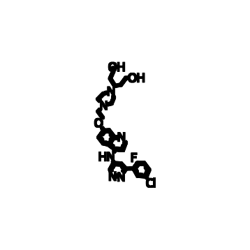 OCCC(CCO)N1CCN(CCOc2ccc3c(Nc4cnnc(-c5cc(Cl)ccc5F)c4)ccnc3c2)CC1